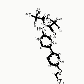 O=C(N(Nc1cnc(-c2ccc(OCC(F)(F)F)nc2)cn1)C(=O)C(F)(F)Br)C(F)(F)Br